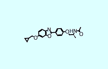 CC(=O)N[C@@H](C)COc1ccc(-c2nc3ccc(OCC4CC4)cc3o2)cc1